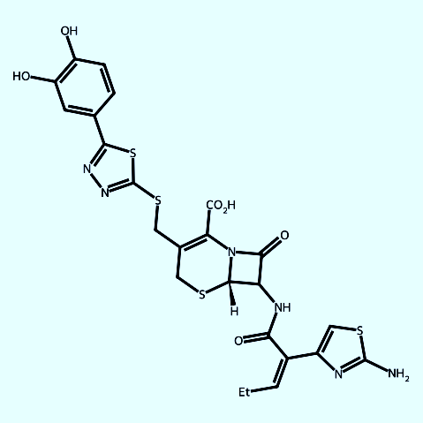 CC/C=C(\C(=O)NC1C(=O)N2C(C(=O)O)=C(CSc3nnc(-c4ccc(O)c(O)c4)s3)CS[C@@H]12)c1csc(N)n1